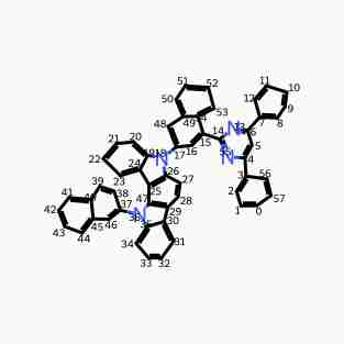 c1ccc(-c2cc(-c3ccccc3)nc(-c3cc(-n4c5ccccc5c5c4ccc4c6ccccc6n(-c6ccc7ccccc7c6)c45)cc4ccccc34)n2)cc1